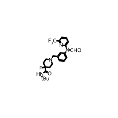 CC(C)(C)NC(=O)C1(F)CCN(Cc2cccc(N(C=O)c3cccc(C(F)(F)F)n3)c2)CC1